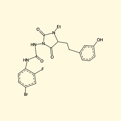 CCN1C(=O)N(NC(=O)Nc2ccc(Br)cc2F)C(=O)C1CCc1cccc(O)c1